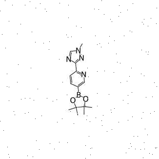 Cn1cnc(-c2ccc(B3OC(C)(C)C(C)(C)O3)cn2)n1